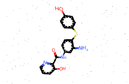 Nc1cc(NC(=O)c2ncccc2O)ccc1Sc1ccc(O)cc1